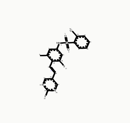 Cc1cc(NS(=O)(=O)c2ccccc2Cl)cc(F)c1/C=C/c1cnc(F)nc1